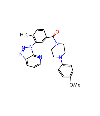 COc1ccc(N2CCN(C(=O)c3ccc(C)c(-n4nnc5cccnc54)c3)CC2)cc1